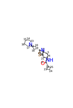 O=C(Nc1ccc2nc([C@H]3C[C@@H](N4CCCCC4)C3)sc2c1)C1CCC1